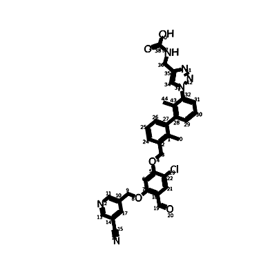 Cc1c(COc2cc(OCc3cncc(C#N)c3)c(C=O)cc2Cl)cccc1-c1cccc(-n2cc(CNC(=O)O)nn2)c1C